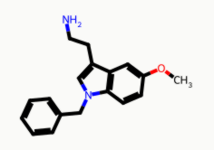 COc1ccc2c(c1)c(CCN)cn2Cc1ccccc1